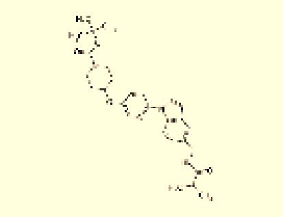 CC(C)C(=O)NCc1ccc2c(ccn2-c2ccc(OC3CCN(C(=O)OC(C)(C)C)CC3)cn2)c1